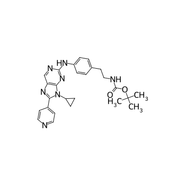 CC(C)(C)OC(=O)NCCc1ccc(Nc2ncc3nc(-c4ccncc4)n(C4CC4)c3n2)cc1